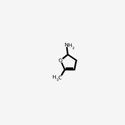 CC1=CCC(N)O1